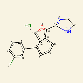 Cl.Fc1cccc(-c2cccc3c(C4=NCCN4)occ23)c1